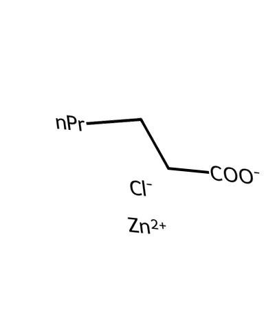 CCCCCC(=O)[O-].[Cl-].[Zn+2]